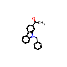 CC(=O)c1ccc2c3ccccc3n(Cc3ccccc3)c2c1